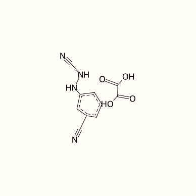 N#CNNc1cccc(C#N)c1.O=C(O)C(=O)O